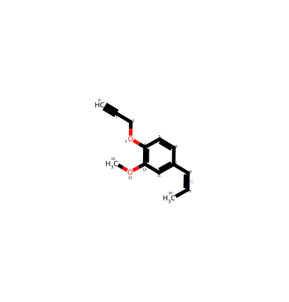 C#CCOc1ccc(/C=C\C)cc1OC